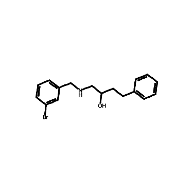 OC([CH]Cc1ccccc1)CNCc1cccc(Br)c1